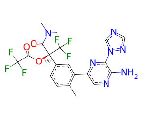 Cc1ccc([C@](OC(=O)C(F)(F)F)(C(=O)N(C)C)C(F)(F)F)cc1-c1cnc(N)c(-n2cncn2)n1